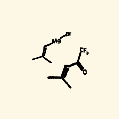 CC(C)=CC(=O)C(F)(F)F.CC(C)=[CH][Mg][Br]